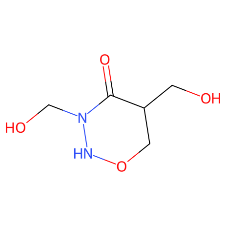 O=C1C(CO)CONN1CO